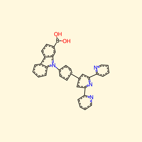 OB(O)c1ccc2c3ccccc3n(-c3ccc(-c4cc(-c5ccccn5)nc(-c5ccccn5)c4)cc3)c2c1